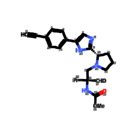 C#Cc1ccc(-c2cnc([C@@H]3CCCN3C[C@](C=O)(NC(=O)OC)C(C)C)[nH]2)cc1